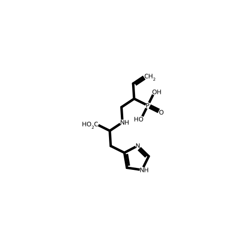 C=CC(CNC(Cc1c[nH]cn1)C(=O)O)P(=O)(O)O